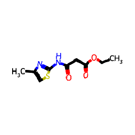 CCOC(=O)CC(=O)Nc1nc(C)cs1